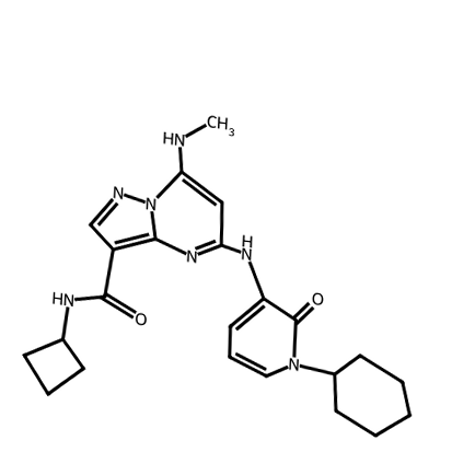 CNc1cc(Nc2cccn(C3CCCCC3)c2=O)nc2c(C(=O)NC3CCC3)cnn12